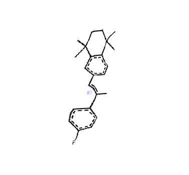 C/C(=C\c1ccc2c(c1)C(C)(C)CCC2(C)C)c1ccc(F)cc1